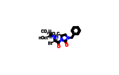 CCCCCCCC[C@H](N[C@@H](CC)C(=O)N1C(=O)N(Cc2ccccc2)C[C@H]1C(=O)O)C(=O)O